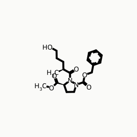 COC(=O)[C@@H]1CCN(C(=O)OCc2ccccc2)N1C(=O)[C@@H](C)CCCO